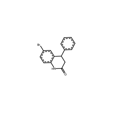 O=C1CC(c2ccccc2)c2cc(Br)ccc2N1